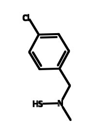 CN(S)Cc1ccc(Cl)cc1